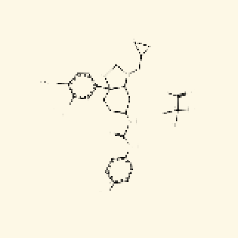 COc1ccc(C23CCC(NC(=O)Nc4ccc(C(F)(F)F)cc4)CC2N(CC2CC2)CC3)cc1OC.O=C(O)C(F)(F)F